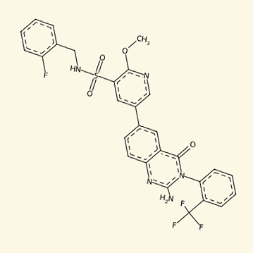 COc1ncc(-c2ccc3nc(N)n(-c4ccccc4C(F)(F)F)c(=O)c3c2)cc1S(=O)(=O)NCc1ccccc1F